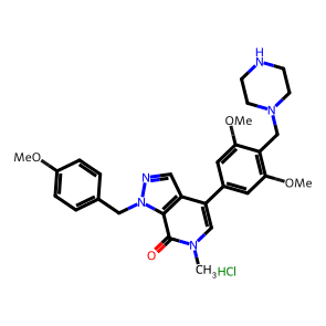 COc1ccc(Cn2ncc3c(-c4cc(OC)c(CN5CCNCC5)c(OC)c4)cn(C)c(=O)c32)cc1.Cl